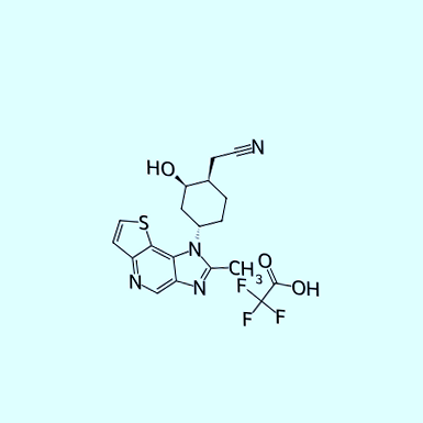 Cc1nc2cnc3ccsc3c2n1[C@H]1CC[C@H](CC#N)[C@H](O)C1.O=C(O)C(F)(F)F